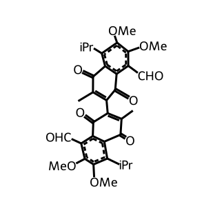 COc1c(C=O)c2c(c(C(C)C)c1OC)C(=O)C(C)=C(C1=C(C)C(=O)c3c(c(C=O)c(OC)c(OC)c3C(C)C)C1=O)C2=O